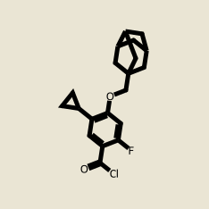 O=C(Cl)c1cc(C2CC2)c(OCC23CC4CC(C2)C(C4)C3)cc1F